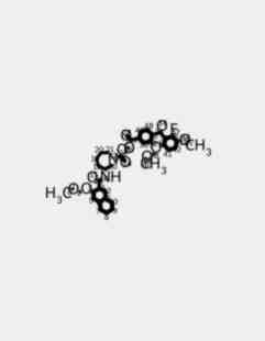 COCOc1cc2ccccc2cc1C(=O)NC1CCCCN(C(=O)OOC(=O)c2ccc(C(=O)c3c(OCOC)ccc(OC)c3F)cc2)C1